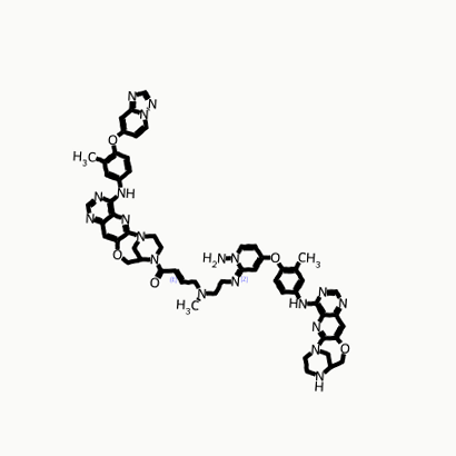 Cc1cc(Nc2ncnc3cc4c(nc23)N2CCNC(CO4)C2)ccc1Oc1ccn(N)/c(=N\CCN(C)C/C=C/C(=O)N2CCN3CC2COc2cc4ncnc(Nc5ccc(Oc6ccn7ncnc7c6)c(C)c5)c4nc23)c1